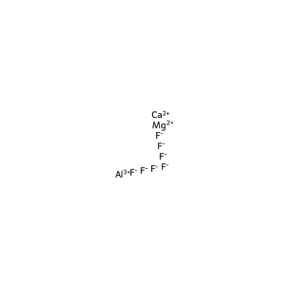 [Al+3].[Ca+2].[F-].[F-].[F-].[F-].[F-].[F-].[F-].[Mg+2]